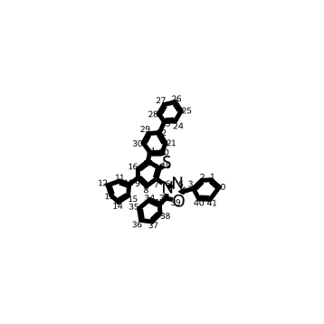 c1ccc(C2=NN(c3cc(-c4ccccc4)cc4c3sc3cc(-c5ccccc5)ccc34)C(c3ccccc3)O2)cc1